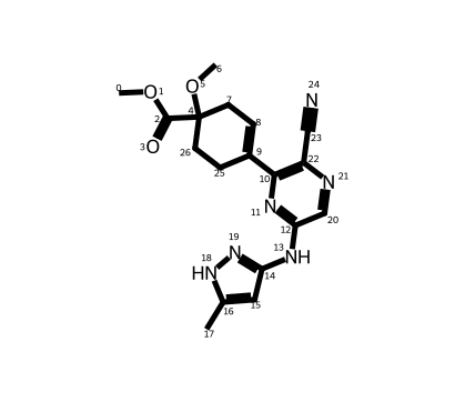 COC(=O)C1(OC)CC=C(c2nc(Nc3cc(C)[nH]n3)cnc2C#N)CC1